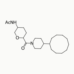 CC(=O)NC1CCC(C(=O)N2CCC(C3CCCCCCCCC3)CC2)OC1